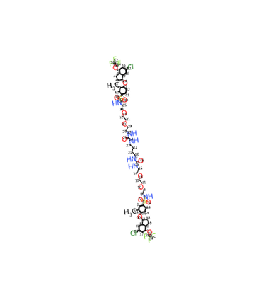 Cc1cc(S(=O)(=O)NCCOCCOCCNC(=O)NCCCCNC(=O)NCCOCCOCCNS(=O)(=O)c2ccc(O[C@@H]3CCc4c(OC(F)(F)F)cc(Cl)cc43)c(C)c2)ccc1O[C@@H]1CCc2c(OC(F)(F)F)cc(Cl)cc21